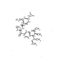 C=CC(C)N(C(=C)NC)c1ccc(C(=O)N(CC)CNc2ncc(C3CC3)cc2C)cn1